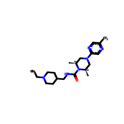 C[C@@H]1CN(c2cnc(C(F)(F)F)cn2)C[C@H](C)N1C(=O)NCC1CCN(CC(C)(C)C)CC1